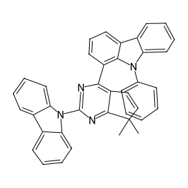 CC1(C)C=Cc2c(-c3cccc4c5ccccc5n(-c5ccccc5)c34)nc(-n3c4ccccc4c4ccccc43)nc21